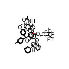 COc1ccc(C(OC[C@H]2O[C@@H](n3cnc4c(NC(C)=O)ncnc43)[C@@H](OCOCC(C(F)(F)F)C(F)(F)F)C2O[P@]2O[C@H](c3ccccc3)[C@@H]3CCCN32)(c2ccccc2)c2ccc(C)cc2)cc1